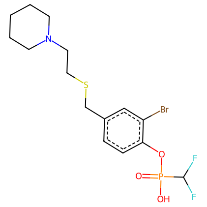 O=P(O)(Oc1ccc(CSCCN2CCCCC2)cc1Br)C(F)F